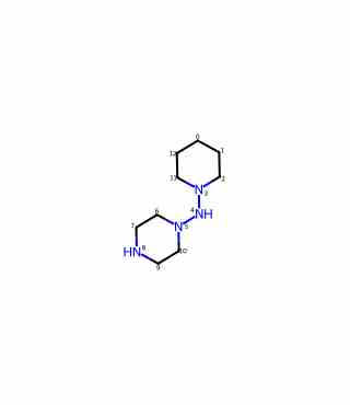 C1CCN(NN2CCNCC2)CC1